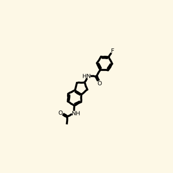 CC(=O)Nc1ccc2c(c1)CC(NC(=O)c1ccc(F)cc1)C2